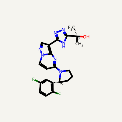 C[C@](O)(c1nnc(-c2cnn3ccc(N4CCC[C@@H]4c4cc(F)ccc4F)nc23)[nH]1)C(F)(F)F